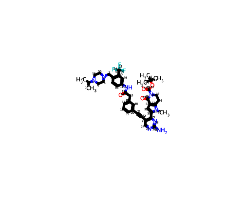 CC(C)N1CCN(Cc2ccc(NC(=O)Cc3cccc(C#Cc4cnc(N)nc4-c4cc5c(n4C)CCN(C(=O)OC(C)(C)C)C5=O)c3)cc2C(F)(F)F)CC1